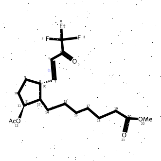 CCC(F)(F)C(=O)/C=C/[C@H]1CC[C@H](OC(C)=O)C1CCCCCCC(=O)OC